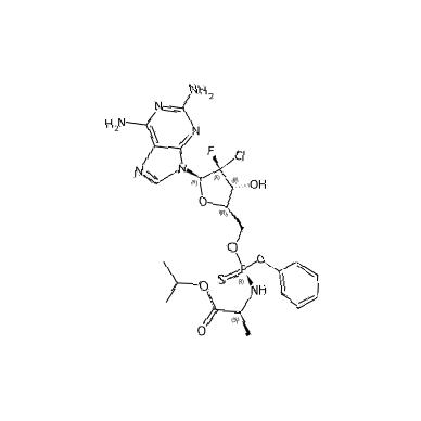 CC(C)OC(=O)[C@H](C)N[P@@](=S)(OC[C@H]1O[C@@H](n2cnc3c(N)nc(N)nc32)[C@](F)(Cl)[C@@H]1O)Oc1ccccc1